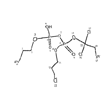 CC(C)CCOP(=O)(O)OP(=O)(OCCCl)OC(Cl)(Cl)CC(C)C